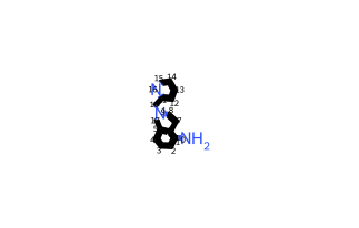 Nc1cccc2c1C=CN(Cc1ccccn1)C2